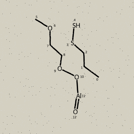 CCCSS.COCCO[O][Al]=[O]